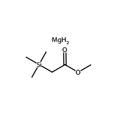 COC(=O)C[Si](C)(C)C.[MgH2]